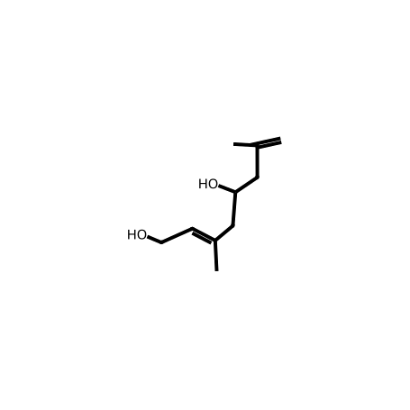 C=C(C)CC(O)CC(C)=CCO